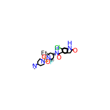 CC[C@H]1C[C@@H](NC(=O)c2cc3c(cc2Cl)NC(=O)C3)C[C@@H](F)N1S(=O)(=O)N1CCC(N(C)C)CC1